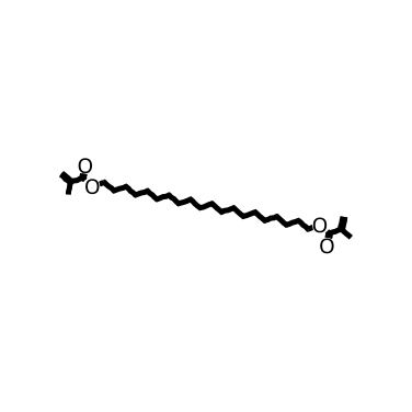 C=C(C)C(=O)OCCCCCCCCCCCCCCCCCCCCOC(=O)C(=C)C